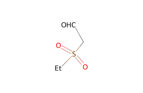 CCS(=O)(=O)CC=O